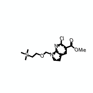 COC(=O)c1cc2ccn(COCC[Si](C)(C)C)c2nc1Cl